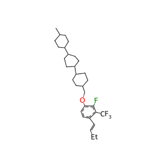 CC/C=C/c1ccc(OCC2CCC(C3CCC(C4CCC(C)CC4)CC3)CC2)c(F)c1C(F)(F)F